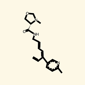 C=C/C(=C\C=C\CNC(=O)[C@@H]1COCN1C)c1ccc(C)nc1